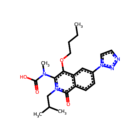 CCCCOc1c(N(C)C(=O)O)n(CC(C)C)c(=O)c2ccc(-n3ccnn3)cc12